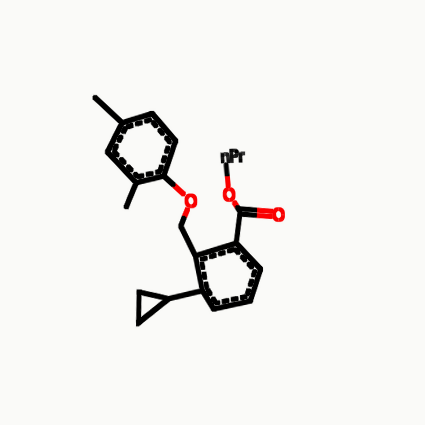 CCCOC(=O)c1cccc(C2CC2)c1COc1ccc(C)cc1C